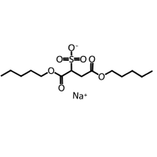 CCCCCOC(=O)CC(C(=O)OCCCCC)S(=O)(=O)[O-].[Na+]